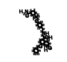 NC(=O)c1cccc(C(F)(F)COc2ccc(CCNC[C@@H](O)c3ccc(OCc4ccccc4)c4[nH]c(=O)ccc34)cc2)c1